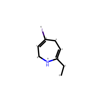 CCC1=CCC(I)=CCN1